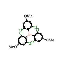 COc1cc(Cl)c(B(c2c(Cl)cc(OC)cc2Cl)c2c(Cl)cc(OC)cc2Cl)c(Cl)c1